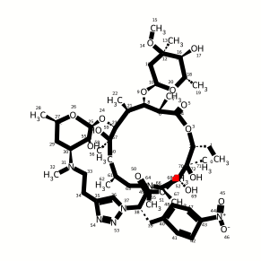 CC[C@H]1OC(=O)[C@H](C)[C@@H](O[C@H]2C[C@@](C)(OC)[C@@H](O)[C@H](C)O2)[C@H](C)[C@@H](O[C@@H]2O[C@H](C)C[C@H](N(C)CCc3cn([C@@H](Cc4ccc([N+](=O)[O-])cc4)C(=O)OC)nn3)[C@H]2O)[C@](C)(O)C[C@@H](C)CN(C)[C@H](C)[C@@H](O)[C@]1(C)O